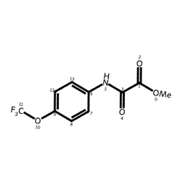 COC(=O)C(=O)Nc1ccc(OC(F)(F)F)cc1